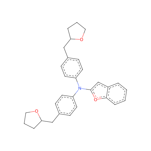 c1ccc2oc(N(c3ccc(CC4CCCO4)cc3)c3ccc(CC4CCCO4)cc3)cc2c1